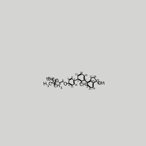 Cc1c(-c2ccc(OCCO[Si](C)(C)C(C)(C)C)cc2)cccc1-c1cccc2c1CC[C@@H]2O